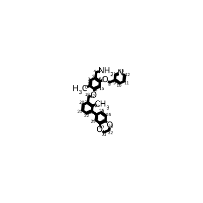 Cc1cc(CN)c(OCc2cccnc2)cc1OCc1cccc(-c2ccc3c(c2)OCCO3)c1C